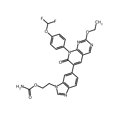 CCOc1ncc2cc(-c3ccc4ncn(CCOC(N)=O)c4c3)c(=O)n(-c3ccc(OC(F)F)cc3)c2n1